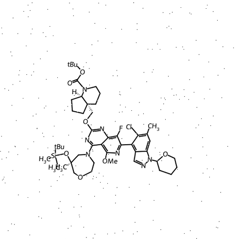 COc1nc(-c2c(Cl)c(C)cc3c2cnn3C2CCCCO2)c(F)c2nc(OC[C@]34CCC[C@H]3N(C(=O)OC(C)(C)C)CCC4)nc(N3CCOC[C@@](C)(O[Si](C)(C)C(C)(C)C)C3)c12